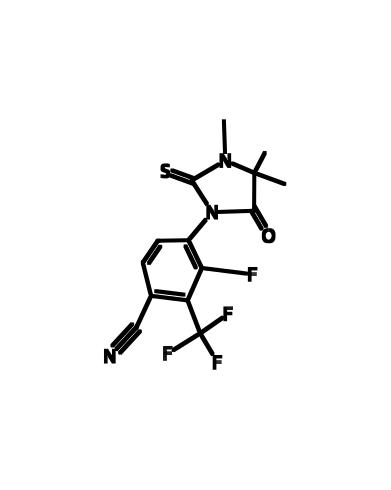 CN1C(=S)N(c2ccc(C#N)c(C(F)(F)F)c2F)C(=O)C1(C)C